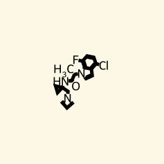 CC(C(=O)NC1(CN2CCC2)CC1)n1ccc2c(Cl)ccc(F)c21